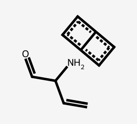 C=CC(N)C=O.c1cc2ccc1-2